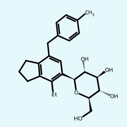 CCc1c([C@@H]2O[C@H](CO)[C@@H](O)[C@H](O)[C@H]2O)cc(Cc2ccc(C)cc2)c2c1CCC2